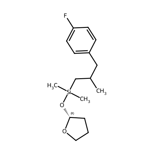 CC(Cc1ccc(F)cc1)C[Si](C)(C)O[C@@H]1CCCO1